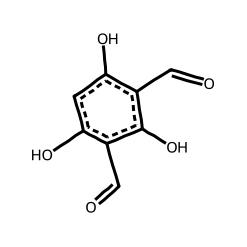 O=Cc1c(O)cc(O)c(C=O)c1O